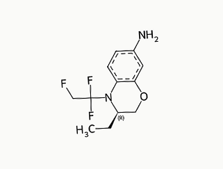 CC[C@@H]1COc2cc(N)ccc2N1C(F)(F)CF